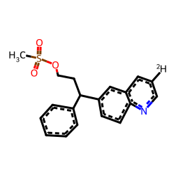 [2H]c1cnc2ccc(C(CCOS(C)(=O)=O)c3ccccc3)cc2c1